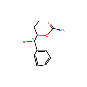 CCC(OC(N)=O)[C@H](O)c1ccccc1